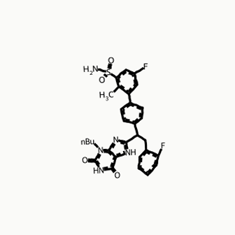 CCCCn1c(=O)[nH]c(=O)c2[nH]c(C(Cc3ccccc3F)c3ccc(-c4cc(F)cc(S(N)(=O)=O)c4C)cc3)nc21